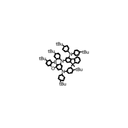 CC(C)(C)c1ccc(N(c2ccc(C(C)(C)C)cc2)c2cc3c4c(c2)N(c2cc(N(c5ccc(C(C)(C)C)cc5)c5ccc(C(C)(C)C)cc5)c5c(c2)C(C)(C)c2ccccc2-5)c2ccc(C(C)(C)C)cc2B4c2cc(C(C)(C)C)ccc2O3)cc1